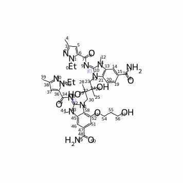 CCn1nc(C)cc1C(=O)/N=c1\n(C)c2cc(C(N)=O)ccc2n1CC(C)(O)C(C)(O)Cn1/c(=N/C(=O)c2cc(C)nn2CC)n(C)c2cc(C(N)=O)cc(OCCCO)c21